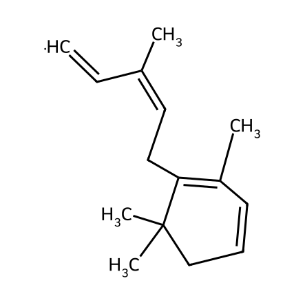 [CH]=CC(C)=CCC1=C(C)C=CCC1(C)C